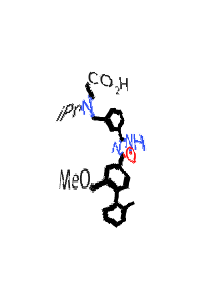 COCc1cc(C2=NC(c3cccc(CN(CCC(=O)O)C(C)C)c3)NO2)ccc1-c1ccccc1C